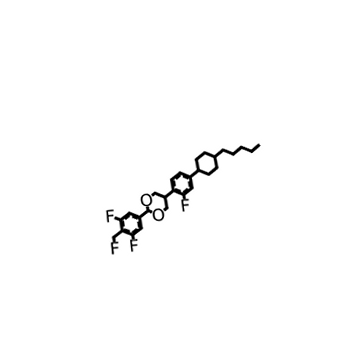 CCCCCC1CCC(c2ccc(C3COC(c4cc(F)c(CF)c(F)c4)OC3)c(F)c2)CC1